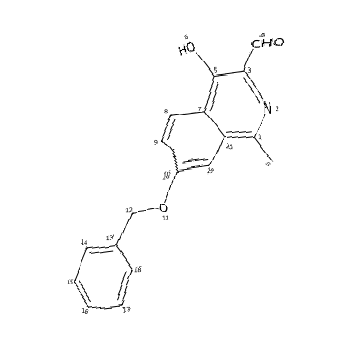 Cc1nc(C=O)c(O)c2ccc(OCc3ccccc3)cc12